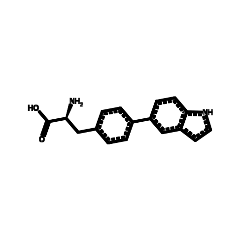 N[C@@H](Cc1ccc(-c2ccc3[nH]ccc3c2)cc1)C(=O)O